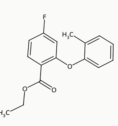 CCOC(=O)c1ccc(F)cc1Oc1ccccc1C